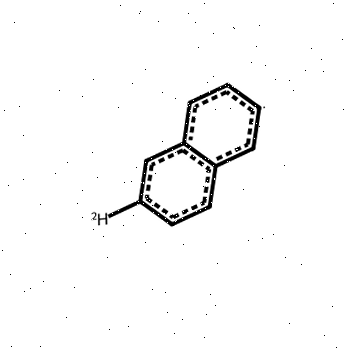 [2H]c1ccc2c[c]ccc2c1